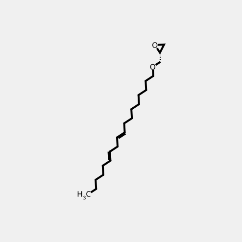 CCCCCC=CCC=CCCCCCCCCOC[C@H]1CO1